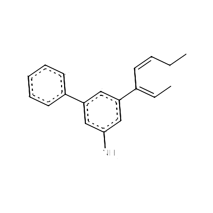 C/C=C(\C=C/CC)c1cc(N)cc(-c2ccccc2)c1